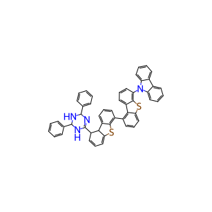 C1=CC(C2=NC(c3ccccc3)NC(c3ccccc3)N2)C2C(=C1)Sc1c(-c3cccc4sc5c(-n6c7ccccc7c7ccccc76)cccc5c34)cccc12